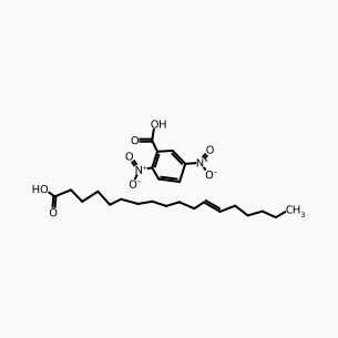 CCCCC/C=C/CCCCCCCCCCC(=O)O.O=C(O)c1cc([N+](=O)[O-])ccc1[N+](=O)[O-]